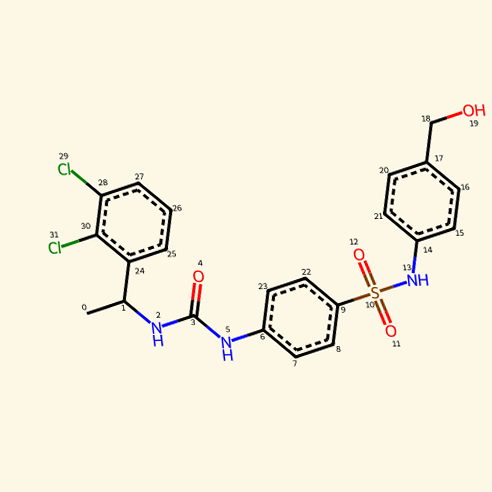 CC(NC(=O)Nc1ccc(S(=O)(=O)Nc2ccc(CO)cc2)cc1)c1cccc(Cl)c1Cl